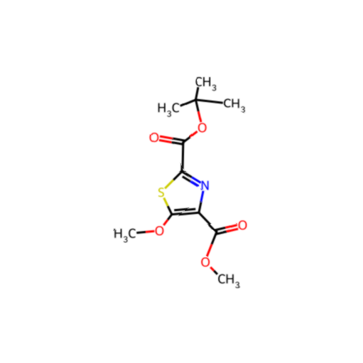 COC(=O)c1nc(C(=O)OC(C)(C)C)sc1OC